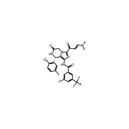 CN(C)C=CC(=O)c1nc(NC(=O)c2cc(F)cc(C(F)(F)F)c2)c2n1CC(=O)N[C@H]2c1cc(F)ccc1Cl